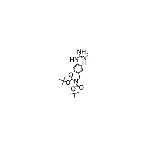 CC(C)(C)OC(=O)N(Cc1ccc(NC(=N)N)cc1)C(=O)OC(C)(C)C